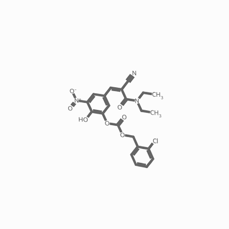 CCN(CC)C(=O)C(C#N)=Cc1cc(OC(=O)OCc2ccccc2Cl)c(O)c([N+](=O)[O-])c1